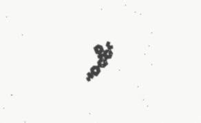 CCC(C)c1ccc2c(c1)C(C)(c1ccccc1)c1cc(-c3ccc(C(C)(C)CC)cc3)ccc1-2